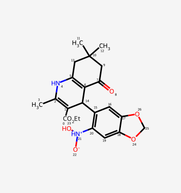 CCOC(=O)C1=C(C)NC2=C(C(=O)CC(C)(C)C2)C1c1cc2c(cc1[NH+]([O-])O)OCO2